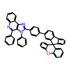 c1ccc(-c2nc3ccccc3c3nc(-c4ccc(-c5ccc6c(c5)C5(c7ccccc7Oc7ccccc75)c5ccccc5-6)cc4)n(-c4ccccc4)c23)cc1